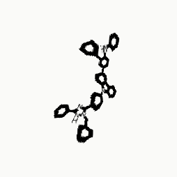 c1ccc(CN2NC(c3ccccc3)=NC2c2ccc(-n3c4ccccc4c4cc(-c5ccc(Nc6ccccc6)c(-c6ccccc6)c5)ccc43)cc2)cc1